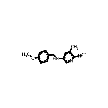 [C-]#[N+]c1ncc(NCc2ccc(OC)cc2)cc1C